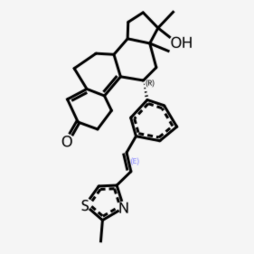 Cc1nc(/C=C/c2cccc([C@H]3CC4(C)C(CCC4(C)O)C4CCC5=CC(=O)CCC5=C43)c2)cs1